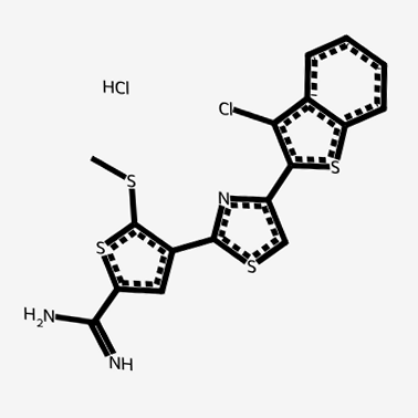 CSc1sc(C(=N)N)cc1-c1nc(-c2sc3ccccc3c2Cl)cs1.Cl